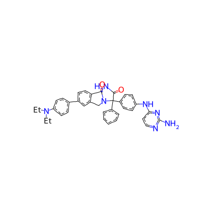 CCN(CC)c1ccc(-c2ccc3c(c2)CN(C(C(N)=O)(c2ccccc2)c2ccc(Nc4ccnc(N)n4)cc2)C3=O)cc1